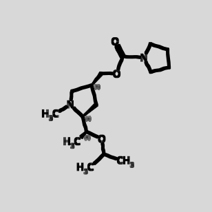 CC(C)O[C@@H](C)[C@@H]1C[C@H](COC(=O)N2CCCC2)CN1C